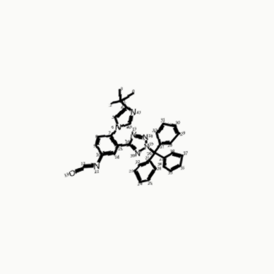 CC(C)(C)c1cn(-c2ccc(N=C=O)cc2-c2nnn(C(c3ccccc3)(c3ccccc3)c3ccccc3)n2)cn1